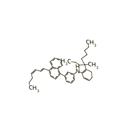 CCC/C=C\C=Cc1ccc(-c2cccc(NC3=C(C(C)(CCC)CCCCC)CCC=C3)c2)c2ccccc12